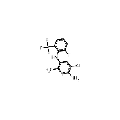 Cc1nc(N)c(Cl)cc1Nc1c(F)cccc1C(F)(F)F